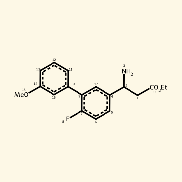 CCOC(=O)CC(N)c1ccc(F)c(-c2cccc(OC)c2)c1